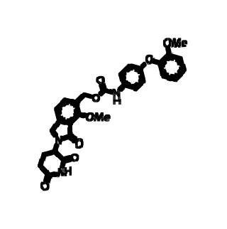 COc1ccccc1Oc1ccc(NC(=O)OCc2ccc3c(c2OC)C(=O)N(C2CCC(=O)NC2=O)C3)cc1